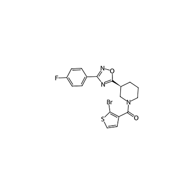 O=C(c1ccsc1Br)N1CCC[C@H](c2nc(-c3ccc(F)cc3)no2)C1